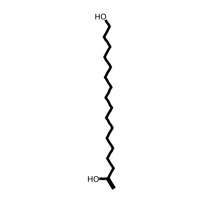 C=C(O)CCCCCCCCCCCCCCCO